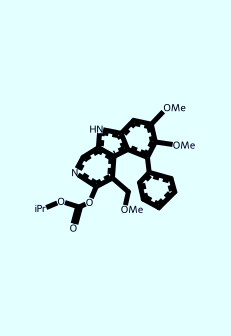 COCc1c(OC(=O)OC(C)C)ncc2[nH]c3cc(OC)c(OC)c(-c4ccccc4)c3c12